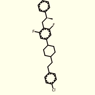 C[C@@H](Cc1c(F)cc(C2CCC(CCc3ccc(Cl)cc3)CC2)cc1F)c1ccccc1